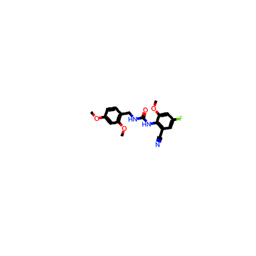 COc1ccc(CNC(=O)Nc2c(C#N)cc(F)cc2OC)c(OC)c1